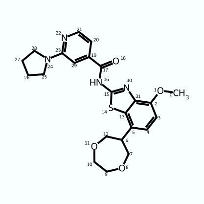 COc1ccc(C2COCCOC2)c2sc(NC(=O)c3ccnc(N4CCCC4)c3)nc12